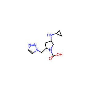 O=C(O)N1CC(NC2CC2)CC1Cn1ccnn1